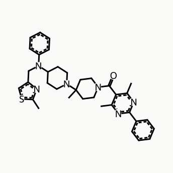 Cc1nc(CN(c2ccccc2)C2CCN(C3(C)CCN(C(=O)c4c(C)nc(-c5ccccc5)nc4C)CC3)CC2)cs1